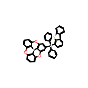 c1ccc([Si](c2ccccc2)(c2cc3c4c(c2)Oc2cccc5c2B4c2c(cccc2O3)O5)c2cccc3c2sc2ccccc23)cc1